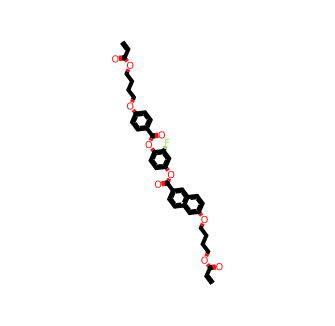 C=CC(=O)OCCCCOc1ccc(C(=O)Oc2ccc(OC(=O)c3ccc4cc(OCCCCOC(=O)C=C)ccc4c3)cc2F)cc1